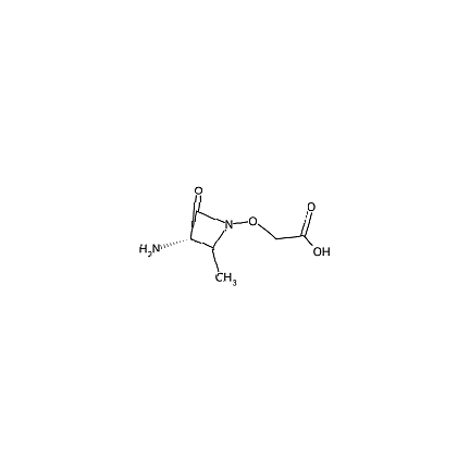 CC1[C@H](N)C(=O)N1OCC(=O)O